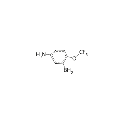 Bc1cc(N)ccc1OC(F)(F)F